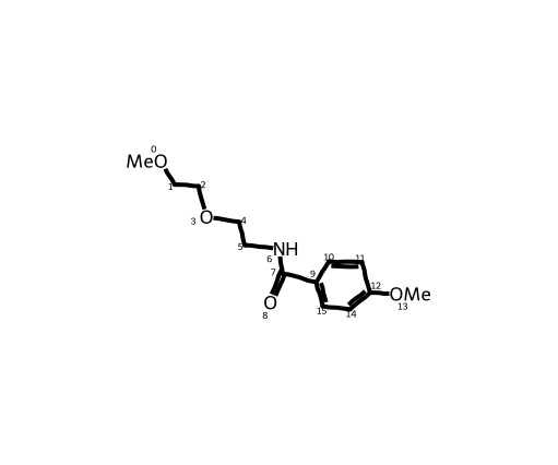 COCCOCCNC(=O)c1ccc(OC)cc1